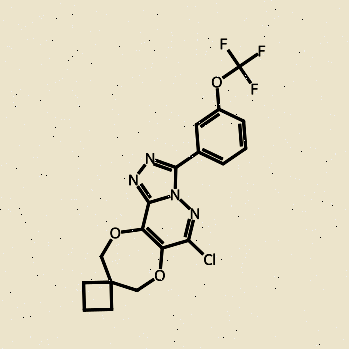 FC(F)(F)Oc1cccc(-c2nnc3c4c(c(Cl)nn23)OCC2(CCC2)CO4)c1